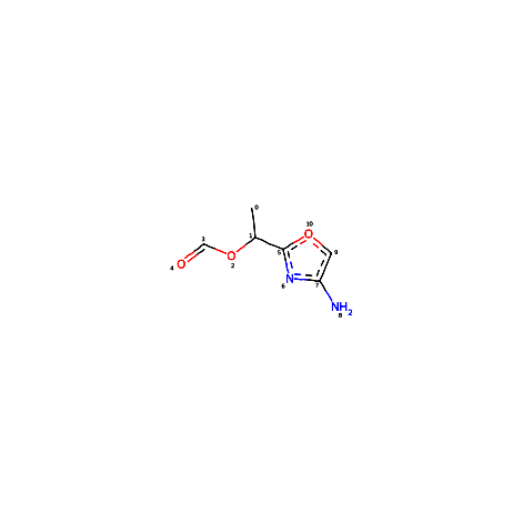 CC(OC=O)c1nc(N)co1